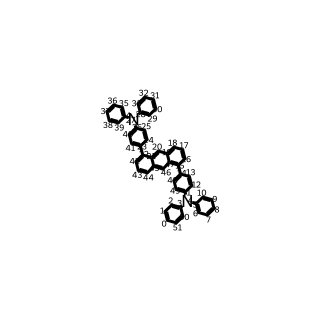 c1ccc(N(c2ccccc2)c2ccc(-c3cccc4cc5c(-c6ccc(N(c7ccccc7)c7ccccc7)cc6)cccc5cc34)cc2)cc1